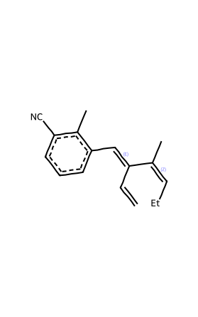 C=CC(=C\c1cccc(C#N)c1C)/C(C)=C\CC